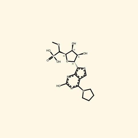 COC([C@@H]1O[C@@H](c2scc3c(N4CCCC4)nc(O)nc23)[C@H](O)[C@@H]1O)P(=O)(O)O